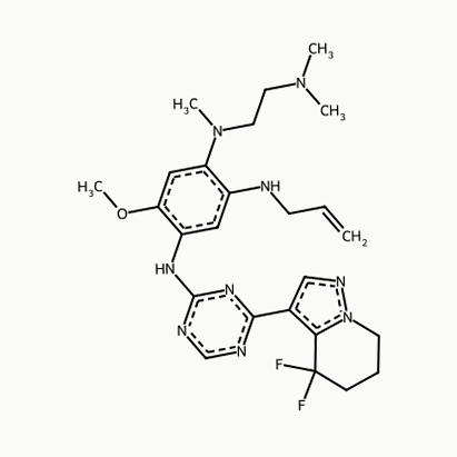 C=CCNc1cc(Nc2ncnc(-c3cnn4c3C(F)(F)CCC4)n2)c(OC)cc1N(C)CCN(C)C